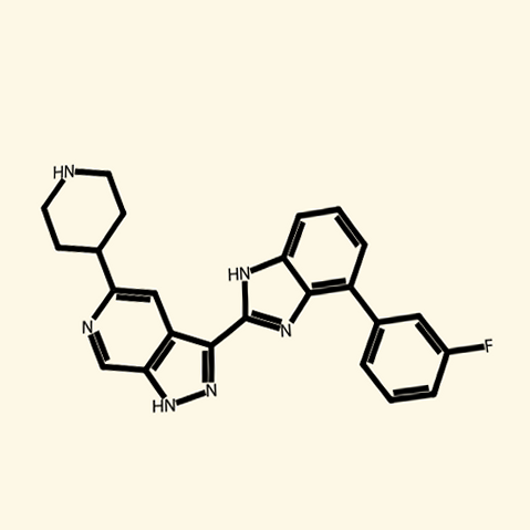 Fc1cccc(-c2cccc3[nH]c(-c4n[nH]c5cnc(C6CCNCC6)cc45)nc23)c1